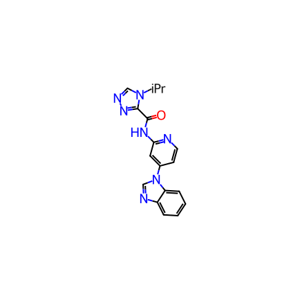 CC(C)n1cnnc1C(=O)Nc1cc(-n2cnc3ccccc32)ccn1